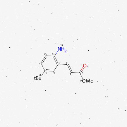 COC(=O)C=Cc1cc(C(C)(C)C)ccc1N